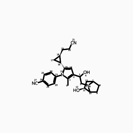 Cc1c(C(O)CN2C3CCC2[C@@H](O)C3)cc([C@@H]2C[C@H]2CCC#N)n1-c1ccc(C#N)cc1